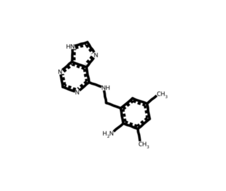 Cc1cc(C)c(N)c(CNc2ncnc3[nH]cnc23)c1